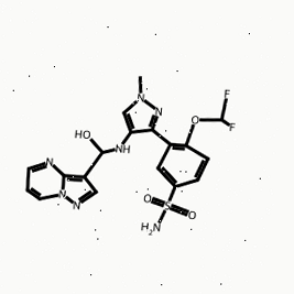 Cn1cc(NC(O)c2cnn3cccnc23)c(-c2cc(S(N)(=O)=O)ccc2OC(F)F)n1